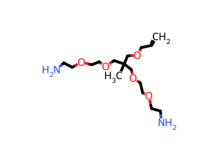 C=CCOCC(C)(COCCOCCN)COCCOCCN